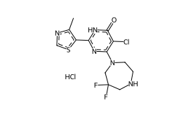 Cc1ncsc1-c1nc(N2CCNCC(F)(F)C2)c(Cl)c(=O)[nH]1.Cl